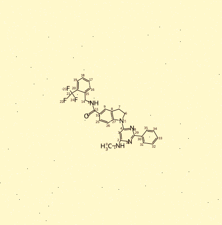 CNc1cc(N2CCc3cc(C(=O)NCc4ccccc4C(F)(F)F)ccc32)nc(-c2ccccc2)n1